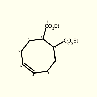 CCOC(=O)C1CCC=CCCC1C(=O)OCC